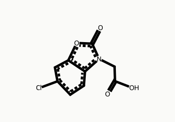 O=C(O)Cn1c(=O)oc2cc(Cl)ccc21